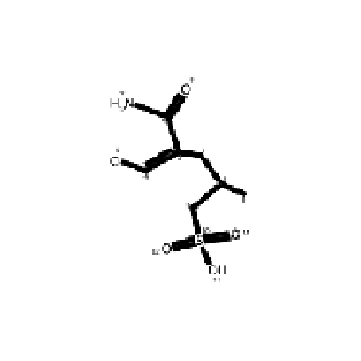 CC(CC(=CCl)C(N)=O)CS(=O)(=O)O